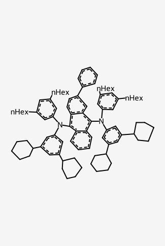 CCCCCCc1cc(CCCCCC)cc(N(c2cc(C3CCCCC3)cc(C3CCCCC3)c2)c2c3ccccc3c(N(c3cc(CCCCCC)cc(CCCCCC)c3)c3cc(C4CCCCC4)cc(C4CCCCC4)c3)c3cc(-c4ccccc4)ccc23)c1